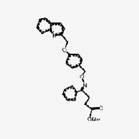 COC(=O)CC/C(=N/OCc1ccc(OCc2ccc3ccccc3n2)cc1)c1ccccc1